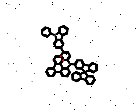 c1ccc(-n2c3ccccc3c3cc(-c4ccc(N(c5ccc6c(c5)C5(c7ccccc7-c7ccccc75)c5ccccc5-6)c5cccc6c7ccccc7c7ccccc7c56)cc4)ccc32)cc1